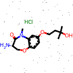 CN1C(=O)[C@@H](N)COc2ccc(OCCC(C)(C)O)cc21.Cl